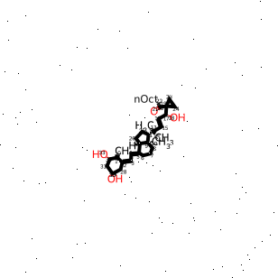 C=C1/C(=C\C=C2/CCC[C@]3(C)[C@@H](C(C)(C)/C=C/[C@@H](O)C4(C(=O)CCCCCCCC)CC4)CC[C@@H]23)C[C@@H](O)C[C@@H]1O